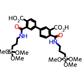 CO[Si](CCCNC(=O)c1ccc(-c2ccc(C(=O)O)c(C(=O)NCCC[Si](OC)(OC)OC)c2)cc1C(=O)O)(OC)OC